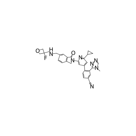 Cn1cnnc1-c1cc(C#N)ccc1-c1cc(C2CC2)nc(N2Cc3ccc(CNCC4(F)COC4)cc3C2=O)c1